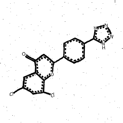 O=c1cc(-c2ccc(-c3nnn[nH]3)cc2)oc2c(Cl)cc(Cl)cc12